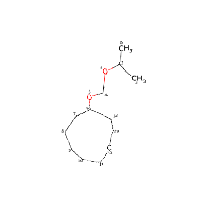 CC(C)OCOC1CCCCCCCC1